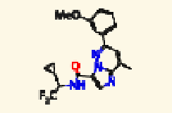 COc1cccc(-c2cc(C)c3ncc(C(=O)NC(C4CC4)C(F)(F)F)n3n2)c1